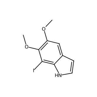 COc1cc2cc[nH]c2c(I)c1OC